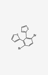 Brc1ccc(Br)c(-c2cccs2)c1-c1cccs1